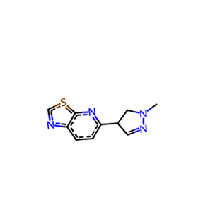 CN1CC(c2ccc3ncsc3n2)C=N1